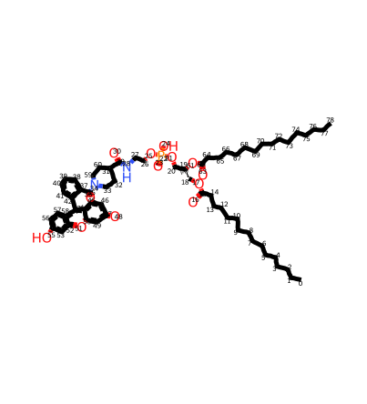 CCCCCCCCCCCCCCCC(=O)OC[C@H](COP(=O)(O)OCCNC(=O)C1CCN(C(=O)c2ccccc2-c2c3ccc(=O)cc-3oc3cc(O)ccc23)CC1)OC(=O)CCCCCCCCCCCCCCC